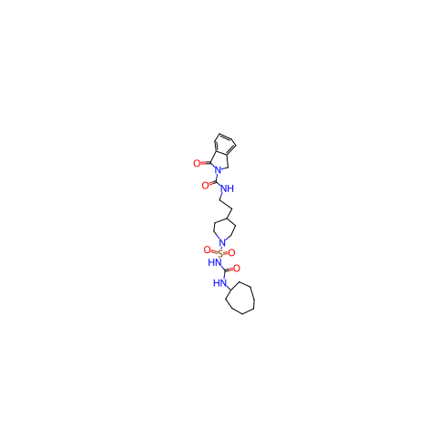 O=C(NC1CCCCCCC1)NS(=O)(=O)N1CCC(CCNC(=O)N2Cc3ccccc3C2=O)CC1